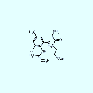 CCc1cc(C)cc(C)c1N[C@@H](C)C(=O)O.CSCCOC(=O)CN